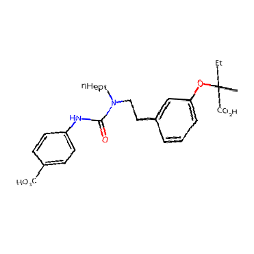 CCCCCCCN(CCc1cccc(OC(C)(CC)C(=O)O)c1)C(=O)Nc1ccc(C(=O)O)cc1